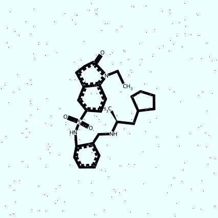 CCn1c(=O)ccc2cc(S(=O)(=O)Nc3ccccc3CN[C@@H](C)CC3CCCC3)ccc21